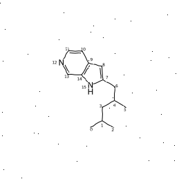 CC(C)CC(C)Cc1cc2ccncc2[nH]1